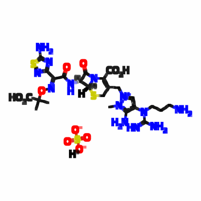 Cn1c(N)c(N(CCCN)C(=N)N)c[n+]1CC1=C(C(=O)O)N2C(=O)[C@@H](NC(=O)C(=NOC(C)(C)C(=O)O)c3nsc(N)n3)[C@H]2SC1.O=S(=O)([O-])[O-].[H+]